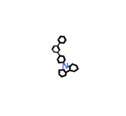 C1=CC(c2ccccc2)=CC(c2ccc(-n3c4ccccc4c4ccccc43)cc2)C1